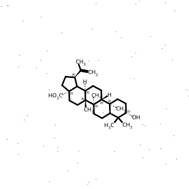 C=C(C)[C@@H]1CC[C@]2(C(=O)O)CC[C@]3(C)[C@H](CC[C@@H]4[C@@]5(C)CC[C@H](O)C(C)(C)C5CC[C@]43C)C12